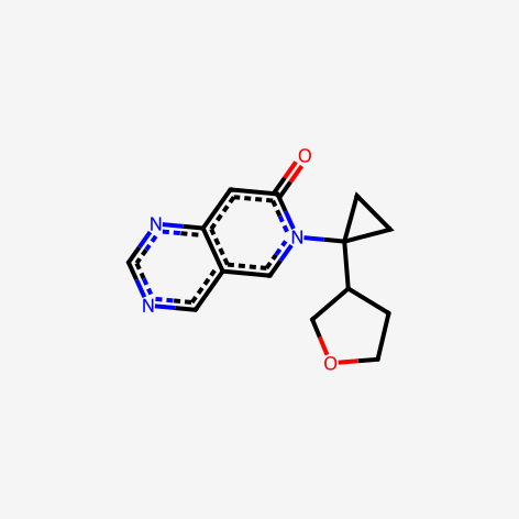 O=c1cc2ncncc2cn1C1(C2CCOC2)CC1